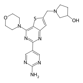 Nc1ncc(-c2nc(N3CCOCC3)c3sc(CN4CCC(O)C4)cc3n2)cn1